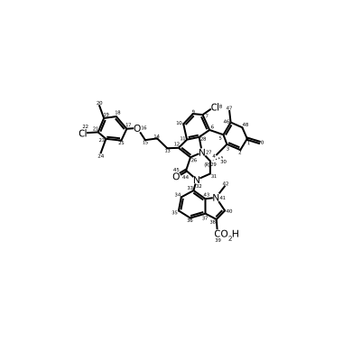 C=C1C=C(C)C(c2c(Cl)ccc3c(CCCOc4cc(C)c(Cl)c(C)c4)c4n(c23)[C@H](C)CN(c2cccc3c(C(=O)O)cn(C)c23)C4=O)=C(C)C1